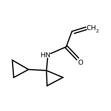 C=CC(=O)NC1(C2CC2)CC1